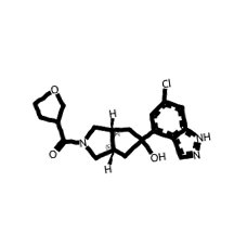 O=C(C1CCOC1)N1C[C@@H]2CC(O)(c3cc(Cl)cc4[nH]ncc34)C[C@@H]2C1